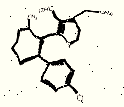 COCC1CSC(C2C(C)CCCC2c2ccc(Cl)cc2)=C1C=O